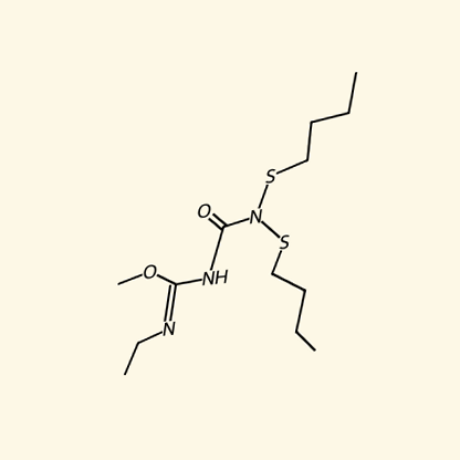 CCCCSN(SCCCC)C(=O)NC(=NCC)OC